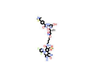 Cc1ncsc1-c1ccc(C2NC([C@H]3C[C@@H](O)CN3C(=O)[C@@H](c3cc(OCCCCCNC(=O)c4cc5c(cc4CS(C)(=O)=O)-c4cn(C)c(=O)c6[nH]cc(c46)CN5c4ncc(F)cc4F)no3)C(C)C)=NC2=O)cc1